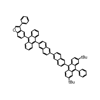 CC(C)(C)c1ccc2c(-c3ccc4cc(-c5ccc6cc(-c7c8ccccc8c(-c8ccc9occ(-c%10ccccc%10)c9c8)c8ccccc78)ccc6c5)ccc4c3)c3ccc(C(C)(C)C)cc3c(-c3ccccc3)c2c1